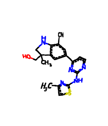 Cc1csc(Nc2nccc(-c3cc(C#N)c4c(c3)C(C)(CO)CN4)n2)n1